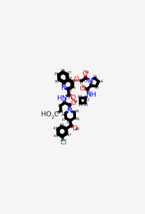 O=C(O)CCC(NC(=O)c1cc(OCC(=O)N2CCCC2C(=O)NC2CCC2)c2ccccc2n1)C(=O)N1CCC(C(=O)c2cccc(Cl)c2)CC1